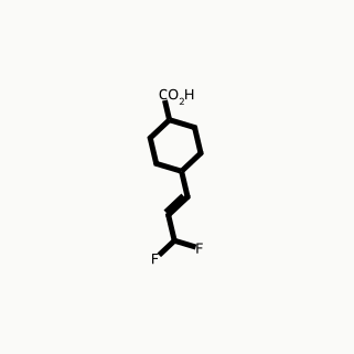 O=C(O)C1CCC(C=CC(F)F)CC1